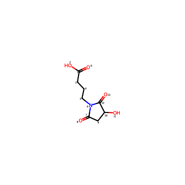 O=C(O)CCCN1C(=O)CC(O)C1=O